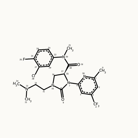 Cc1cc(C(F)(F)F)cc(N2C(=O)N(CCN(C)C)C[C@H]2C(=O)N(C)c2ccc(F)c(Cl)c2)n1